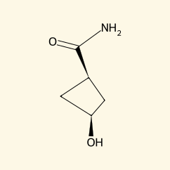 NC(=O)[C@H]1C[C@@H](O)C1